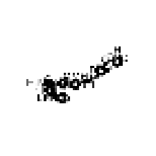 CCc1nc(C(N)=O)c(Nc2ccc(N3CCC(NCCNCc4cc5c(cc4F)C(=O)N(C4CCC(=O)NC4=O)C5)CC3)c(OC)c2)nc1NC1CCOCC1